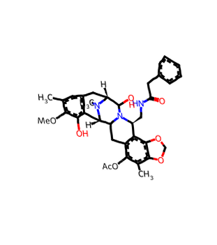 COc1c(C)cc2c(c1O)[C@H]1C3Cc4c(OC(C)=O)c(C)c5c(c4[C@H](CNC(=O)Cc4ccccc4)N3C(O)[C@@H](C2)N1C)OCO5